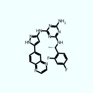 C[C@H](Nc1nc(N)nc(Nc2cc(-c3ccc4nccnc4c3)[nH]n2)n1)c1ccc(F)cc1F